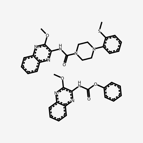 COc1nc2ccccc2nc1NC(=O)N1CCN(c2ccccc2SC)CC1.COc1nc2ccccc2nc1NC(=O)Oc1ccccc1